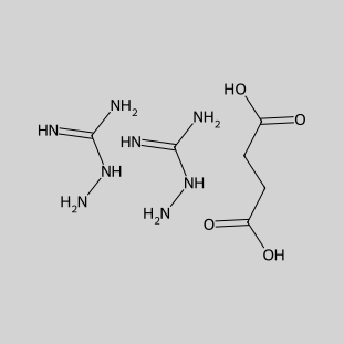 N=C(N)NN.N=C(N)NN.O=C(O)CCC(=O)O